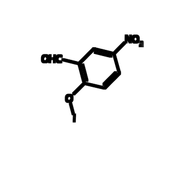 O=Cc1cc([N+](=O)[O-])ccc1OI